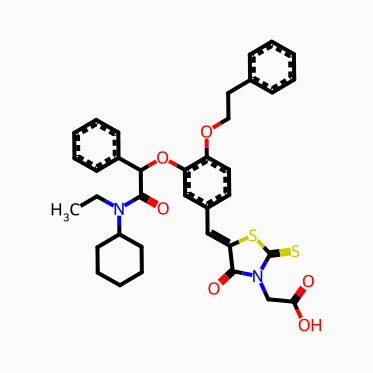 CCN(C(=O)C(Oc1cc(C=C2SC(=S)N(CC(=O)O)C2=O)ccc1OCCc1ccccc1)c1ccccc1)C1CCCCC1